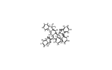 CC1(C)c2ccccc2-c2cc3c(-c4nc5ccccc5s4)c4ccccc4c(-c4nc5ccccc5n4-c4ccccc4)c3cc21